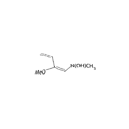 C=C/C(=C\N(C)O)OC